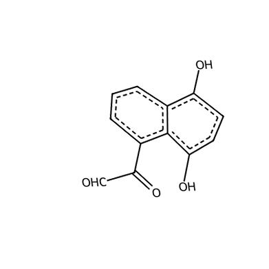 O=CC(=O)c1cccc2c(O)ccc(O)c12